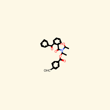 CC(O)N(C(=O)c1ccccc1C(=O)c1ccccc1)C(C)OC(=O)c1ccc(C=O)cc1